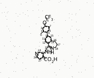 Cc1cc(OCC(F)(F)F)ccc1-c1ccc2c(c1)CCCN[C@@H]2CNc1cnccc1C(=O)O